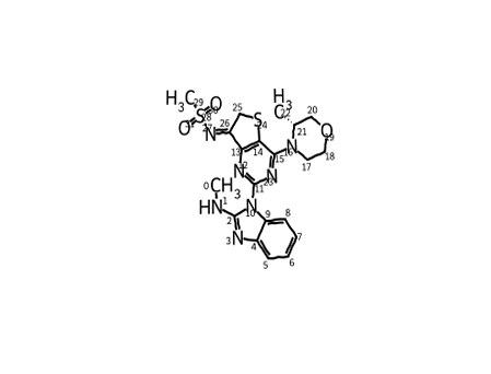 CNc1nc2ccccc2n1-c1nc2c(c(N3CCOC[C@H]3C)n1)SCC2=NS(C)(=O)=O